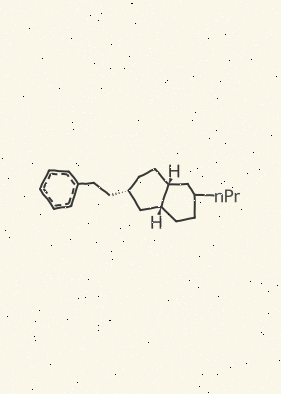 CCCC1CC[C@@H]2C[C@H](CCc3ccccc3)CC[C@@H]2C1